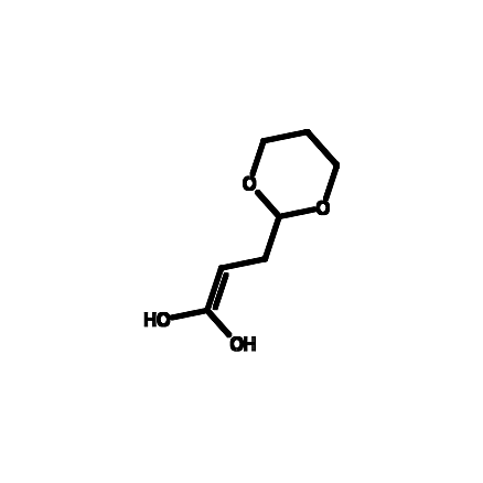 OC(O)=CCC1OCCCO1